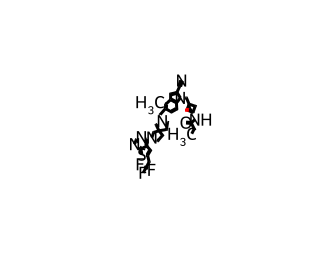 CCC(=O)NC12CC(Cn3c(C#N)cc4c(C)c(CN5CCC6(CCN(c7ncnc8sc(CC(F)(F)F)cc78)C6)C5)ccc43)(C1)C2